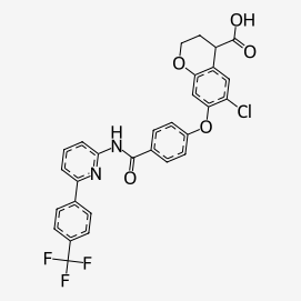 O=C(Nc1cccc(-c2ccc(C(F)(F)F)cc2)n1)c1ccc(Oc2cc3c(cc2Cl)C(C(=O)O)CCO3)cc1